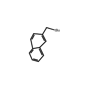 CC(C)(C)[CH]c1ccc2ccccc2c1